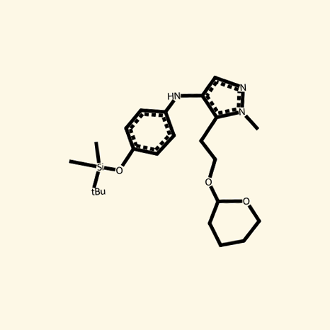 Cn1ncc(Nc2ccc(O[Si](C)(C)C(C)(C)C)cc2)c1CCOC1CCCCO1